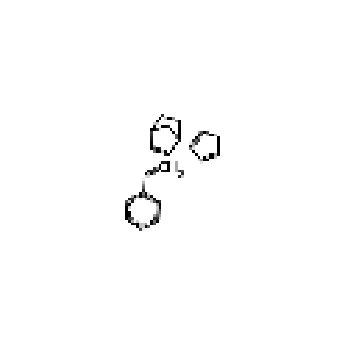 C1=CC2CCC1C2.C1=CCC=C1.C=Cc1ccccc1